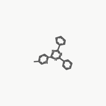 Cc1ccc(-c2nc(-c3ccccc3)nc(-c3ccccc3)n2)nc1